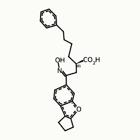 O=C(O)[C@H](CCCCc1ccccc1)CC(=NO)c1ccc2c3c(oc2c1)CCC3